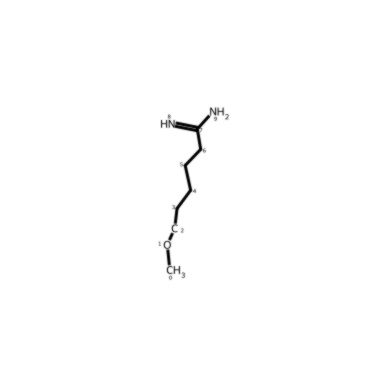 COCCCCCC(=N)N